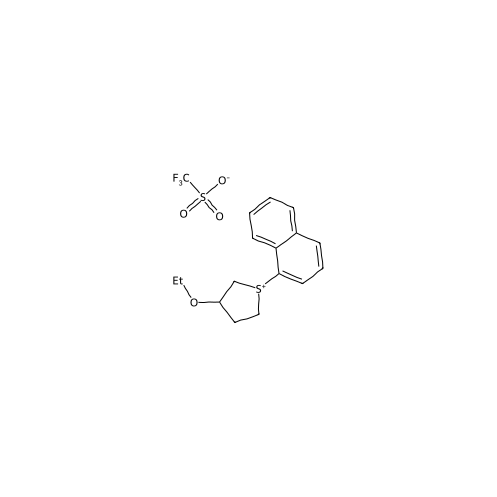 CCOC1CC[S+](c2cccc3ccccc23)C1.O=S(=O)([O-])C(F)(F)F